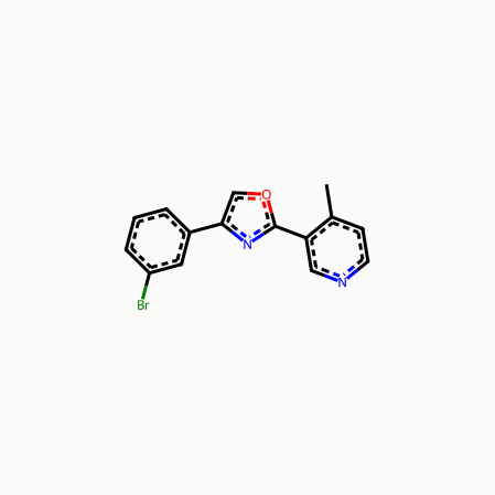 Cc1ccncc1-c1nc(-c2cccc(Br)c2)co1